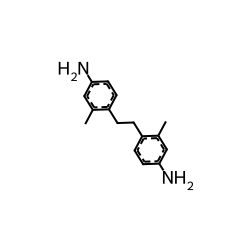 Cc1cc(N)ccc1CCc1ccc(N)cc1C